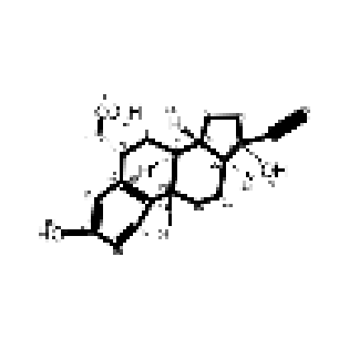 C#C[C@]1(O)CC[C@H]2[C@@H]3C[C@@H](CC(=O)O)c4cc(O)ccc4[C@H]3CC[C@@]21C